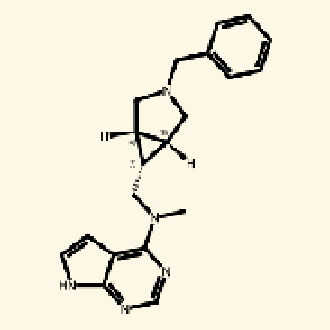 CN(C[C@@H]1[C@@H]2CN(Cc3ccccc3)C[C@@H]21)c1ncnc2[nH]ccc12